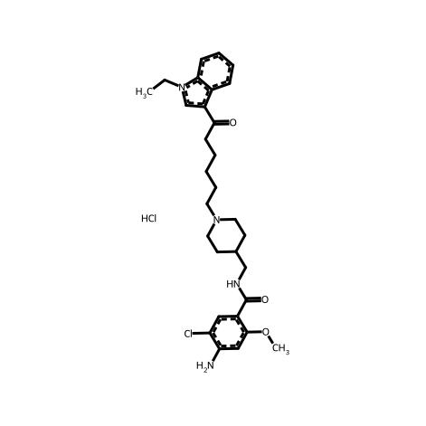 CCn1cc(C(=O)CCCCCN2CCC(CNC(=O)c3cc(Cl)c(N)cc3OC)CC2)c2ccccc21.Cl